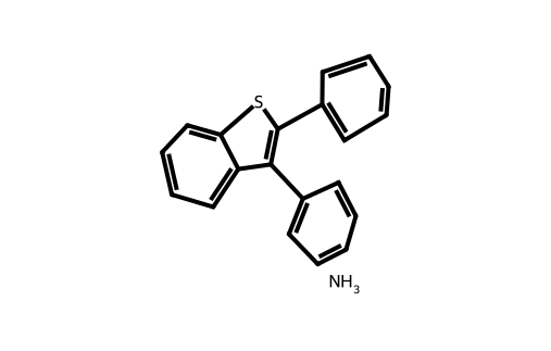 N.c1ccc(-c2sc3ccccc3c2-c2ccccc2)cc1